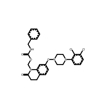 O=C(NCc1ccccc1)OCN1C(=O)CCc2ccc(ON3CCN(c4cccc(Cl)c4Cl)CC3)cc21